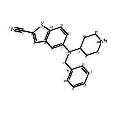 N#Cc1cc2cc(N(Cc3ccccc3)C3CCNCC3)ccc2s1